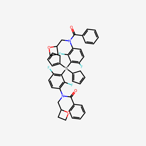 O=C(c1ccccc1)N(CC1CCO1)c1ccc(F)[c]([Ti]([C]2=CC=CC2)([C]2=CC=CC2)[c]2c(F)ccc(N(CC3CCO3)C(=O)c3ccccc3)c2F)c1F